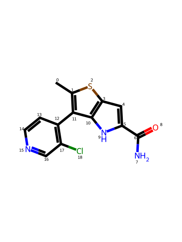 Cc1sc2cc(C(N)=O)[nH]c2c1-c1ccncc1Cl